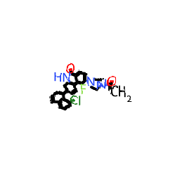 C=CC(=O)N1CCN(c2ccc3c(=O)[nH]c4cc(-c5cccc6cccc(Cl)c56)ccc4c3c2F)CC1